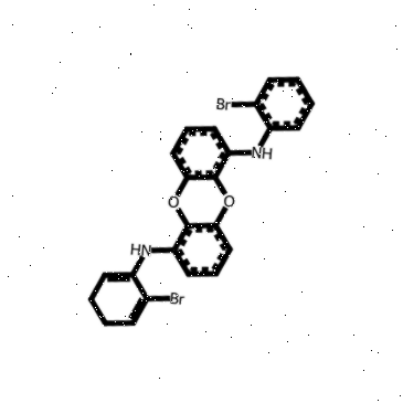 BrC1=CCCC=C1Nc1cccc2c1Oc1cccc(Nc3ccccc3Br)c1O2